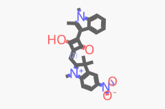 Cc1c(C2=C(O)/C(=C/C3=[N+](C)c4ccc([N+](=O)[O-])cc4C3(C)C)C2=O)c2ccccc2n1C